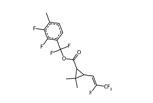 Cc1ccc(C(F)(F)OC(=O)C2C(C=C(F)C(F)(F)F)C2(C)C)c(F)c1F